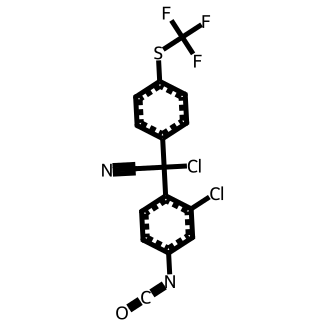 N#CC(Cl)(c1ccc(SC(F)(F)F)cc1)c1ccc(N=C=O)cc1Cl